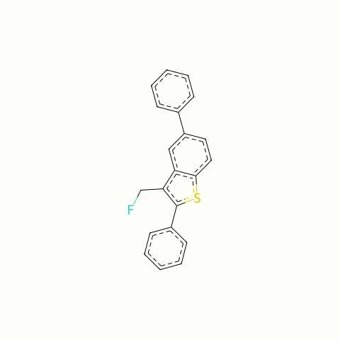 FCc1c(-c2ccccc2)sc2ccc(-c3ccccc3)cc12